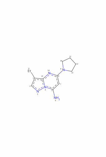 CCc1cnn2c(N)cc(N3CCCC3)nc12